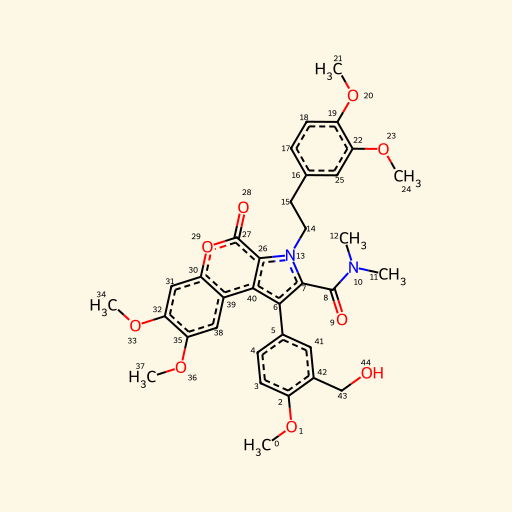 COc1ccc(-c2c(C(=O)N(C)C)n(CCc3ccc(OC)c(OC)c3)c3c(=O)oc4cc(OC)c(OC)cc4c23)cc1CO